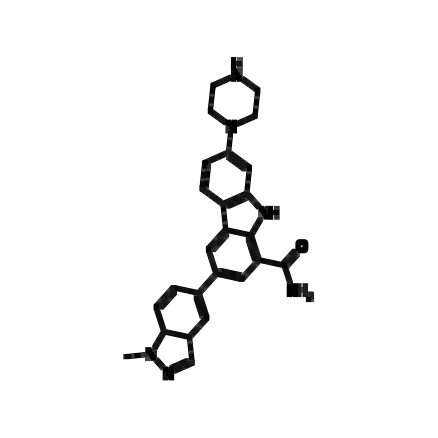 CN1N=CC2C=C(c3cc(C(N)=O)c4[nH]c5cc(N6CCNCC6)ccc5c4c3)C=CC21